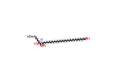 CCCCCCCCCCCCCCCC(O)C(CO)NC(=O)CCCCCCCCCCCCCCCCCCCCCCCCCCCCCCCCO